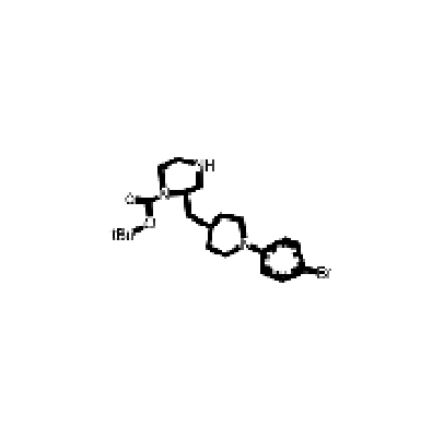 CC(C)(C)OC(=O)N1CCNCC1CC1CCN(c2ccc(Br)cc2)CC1